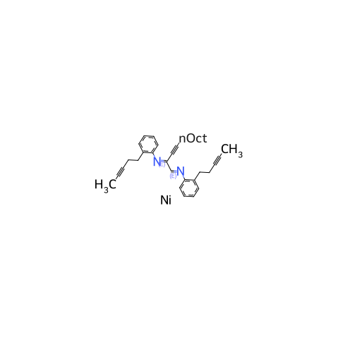 CC#CCCc1ccccc1/N=C/C(C#CCCCCCCCC)=N/c1ccccc1CCC#CC.[Ni]